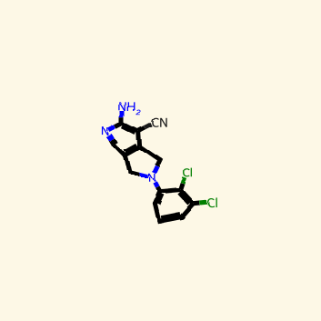 N#Cc1c(N)ncc2c1CN(c1cccc(Cl)c1Cl)C2